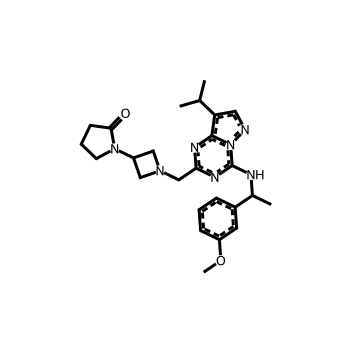 COc1cccc(C(C)Nc2nc(CN3CC(N4CCCC4=O)C3)nc3c(C(C)C)cnn23)c1